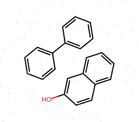 Oc1ccc2ccccc2c1.c1ccc(-c2ccccc2)cc1